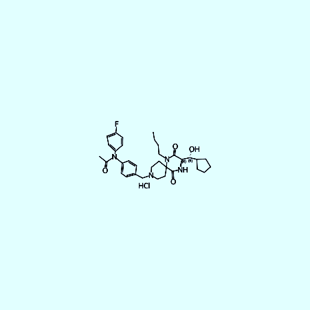 CCCCN1C(=O)[C@@H]([C@H](O)C2CCCC2)NC(=O)C12CCN(Cc1ccc(N(C(C)=O)c3ccc(F)cc3)cc1)CC2.Cl